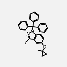 CC1(Oc2ccc3c(c2)c(I)nn3C(c2ccccc2)(c2ccccc2)c2ccccc2)CC1